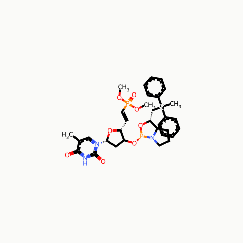 COP(=O)(/C=C/[C@H]1O[C@@H](n2cc(C)c(=O)[nH]c2=O)CC1O[P@@]1O[C@H](C[Si](C)(c2ccccc2)c2ccccc2)[C@@H]2CCCN21)OC